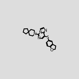 c1cn2c(N3CCC4(CCCC4)CC3)ncc(Sc3ccc4c(c3)CCO4)c2n1